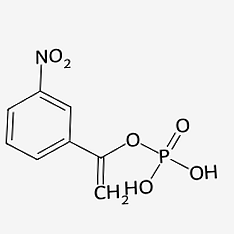 C=C(OP(=O)(O)O)c1cccc([N+](=O)[O-])c1